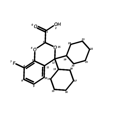 O=C(O)C1Oc2c(F)cccc2C(C2CCCCC2)(C2CCCCC2)O1